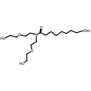 CCCCCCCCCCCCCCCCCC(=O)N(CCOCCO)CCOCCO